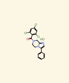 Cl.O=C(c1c(Cl)cc(Cl)cc1Cl)N1CCn2c(-c3ccccc3)cnc2C1